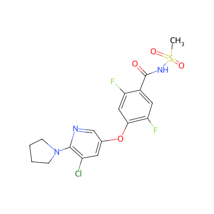 CS(=O)(=O)NC(=O)c1cc(F)c(Oc2cnc(N3CCCC3)c(Cl)c2)cc1F